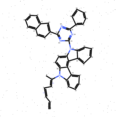 C=C/C=C\C=C(/C)n1c2ccccc2c2c3c4ccccc4n(-c4nc(-c5ccccc5)nc(-c5ccc6ccccc6c5)n4)c3ccc21